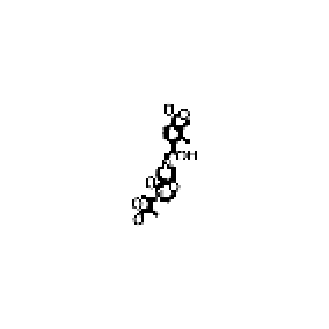 CC1=C(N2CCOC3(CCN(C[C@@H](O)c4ccc5c(c4C)COC5=O)CC3)C2=O)COC1=O